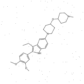 CCc1c(-c2ccc(OC)c(OC)c2)[nH]c2ccc(N3CCC(OC4CCN(C)CC4)CC3)cc12